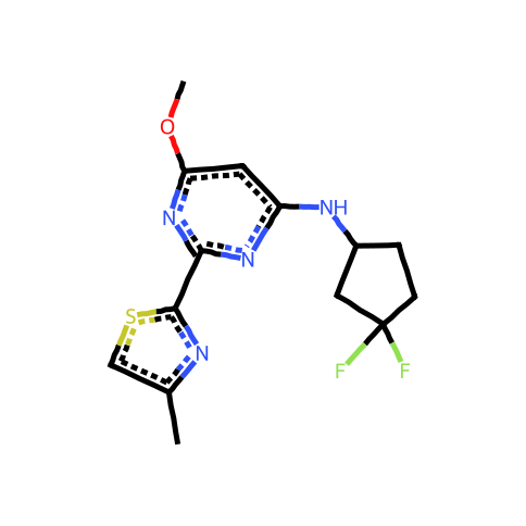 COc1cc(NC2CCC(F)(F)C2)nc(-c2nc(C)cs2)n1